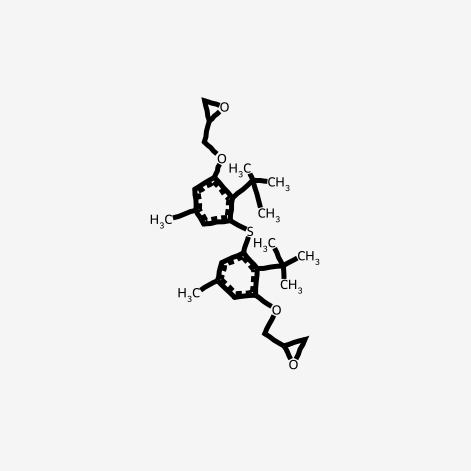 Cc1cc(OCC2CO2)c(C(C)(C)C)c(Sc2cc(C)cc(OCC3CO3)c2C(C)(C)C)c1